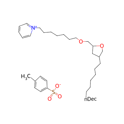 CCCCCCCCCCCCCCCCC1COC(COCCCCCCC[n+]2ccccc2)C1.Cc1ccc(S(=O)(=O)[O-])cc1